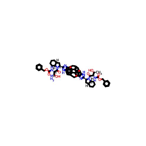 C[C@@H](O)[C@H](NC(=O)OCc1ccccc1)C(=O)N1[C@H](c2nc3cc(-c4cc5ccc4CCc4ccc(c(-c6ccc7[nH]c([C@@H]8C[C@@H]9CCCC[C@@H]9N8C(=O)[C@@H](NC(=O)OCc8ccccc8)[C@@H](N)O)nc7c6)c4)CC5)ccc3[nH]2)C[C@@H]2CCCC[C@@H]21